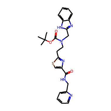 CC(C)(C)OC(=O)N(CCc1nc(C(=O)NCc2ccccn2)cs1)Cc1nc2ccccc2[nH]1